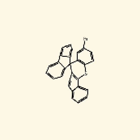 Brc1ccc2c(c1)C1(c3ccccc3-c3ccccc31)c1ccc3ccccc3c1S2